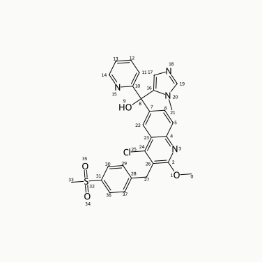 COc1nc2ccc(C(O)(c3ccccn3)c3cncn3C)cc2c(Cl)c1Cc1ccc(S(C)(=O)=O)cc1